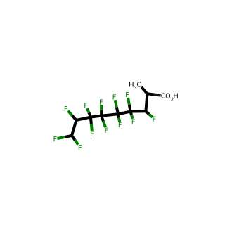 CC(C(=O)O)C(F)C(F)(F)C(F)(F)C(F)(F)C(F)(F)C(F)C(F)F